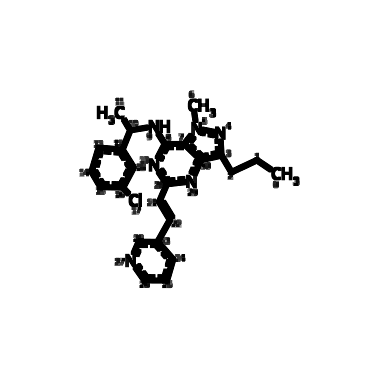 CCCc1nn(C)c2c(NC(C)c3cccc(Cl)c3)nc(C=Cc3cccnc3)nc12